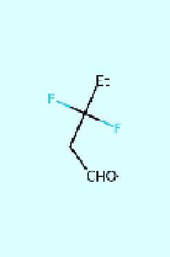 CCC(F)(F)C[C]=O